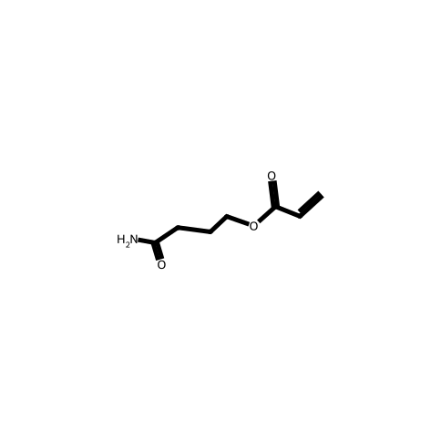 C=CC(=O)OCCCC(N)=O